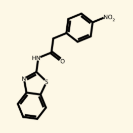 O=C(Cc1ccc([N+](=O)[O-])cc1)Nc1nc2ccccc2s1